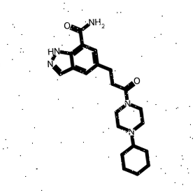 NC(=O)c1cc(C[CH]C(=O)N2CCN(C3CCCCC3)CC2)cc2cn[nH]c12